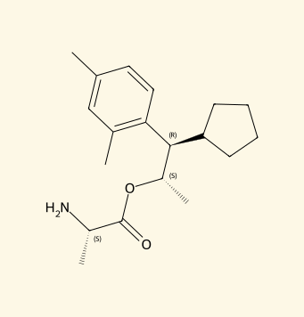 Cc1ccc([C@@H](C2CCCC2)[C@H](C)OC(=O)[C@H](C)N)c(C)c1